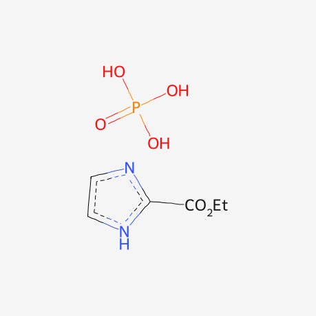 CCOC(=O)c1ncc[nH]1.O=P(O)(O)O